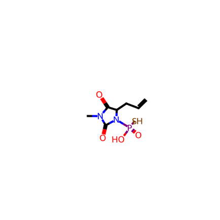 C=CCC1C(=O)N(C)C(=O)N1P(=O)(O)S